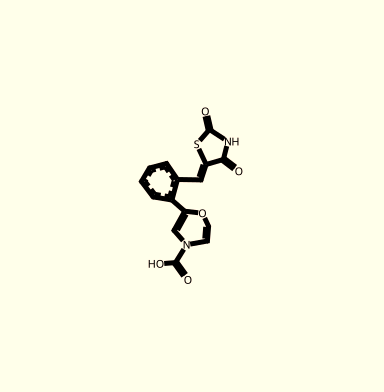 O=C1NC(=O)C(=Cc2ccccc2C2=CN(C(=O)O)C=CO2)S1